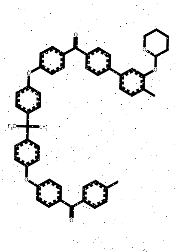 Cc1ccc(C(=O)c2ccc(Oc3ccc(C(c4ccc(Oc5ccc(C(=O)c6ccc(-c7ccc(C)c(OC8CCCCO8)c7)cc6)cc5)cc4)(C(F)(F)F)C(F)(F)F)cc3)cc2)cc1